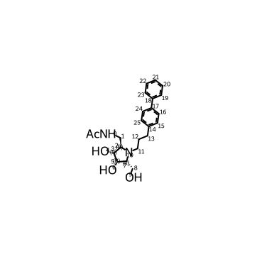 CC(=O)NC[C@@H]1[C@@H](O)[C@H](O)[C@@H](CO)N1CCCc1ccc(-c2ccccc2)cc1